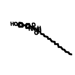 CCCCCCCCCCCCCCCCCCNC(=O)NNC(=O)c1ccc(-c2ccc(O)cc2)cc1